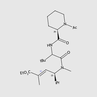 CCOC(=O)/C(C)=C/[C@H](C(C)C)N(C)C(=O)C(NC(=O)[C@H]1CCCCN1C(C)=O)C(C)(C)C